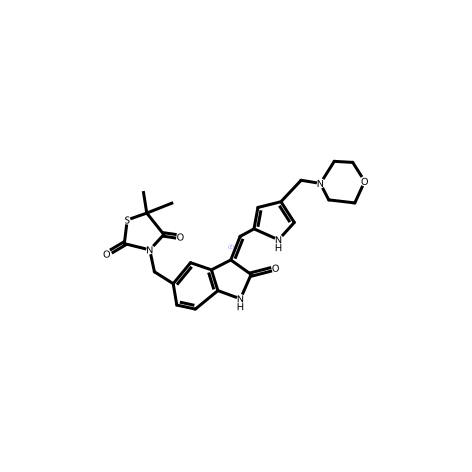 CC1(C)SC(=O)N(Cc2ccc3c(c2)/C(=C/c2cc(CN4CCOCC4)c[nH]2)C(=O)N3)C1=O